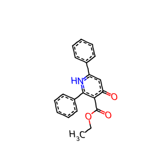 CCOC(=O)c1c(-c2ccccc2)[nH]c(-c2ccccc2)cc1=O